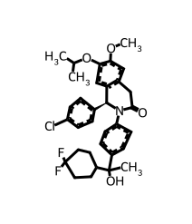 COc1cc2c(cc1OC(C)C)[C@H](c1ccc(Cl)cc1)N(c1ccc(C(C)(O)C3CCC(F)(F)CC3)cc1)C(=O)C2